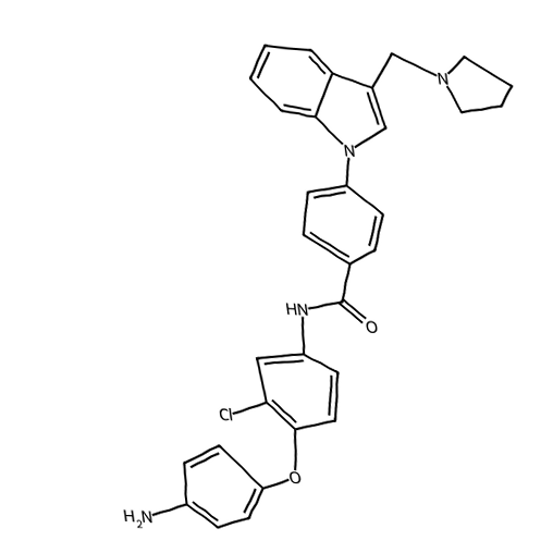 Nc1ccc(Oc2ccc(NC(=O)c3ccc(-n4cc(CN5CCCC5)c5ccccc54)cc3)cc2Cl)cc1